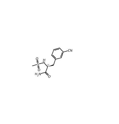 CS(=O)(=O)N[C@@H](Cc1cccc(C#N)c1)C(N)=O